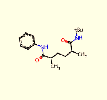 CC(CCC(C)C(=O)NC(C)(C)C)C(=O)Nc1ccccc1